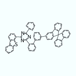 c1ccc(-c2nc(-c3ccccc3-c3cccc(-c4ccc5c(c4)-c4ccccc4C54c5ccccc5-c5ccccc54)c3)nc(-c3cccc4c3sc3ccccc34)n2)cc1